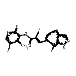 Cc1c(F)cnc(F)c1NC(=O)/C(F)=C/c1ccc2cn[nH]c2c1F